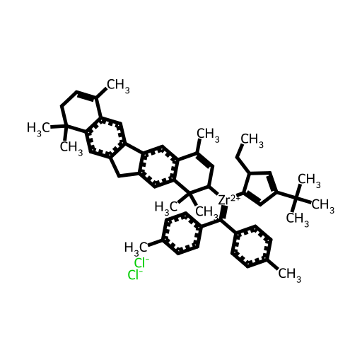 CCC1C=C(C(C)(C)C)C=[C]1[Zr+2](=[C](c1ccc(C)cc1)c1ccc(C)cc1)[CH]1C=C(C)c2cc3c(cc2C1(C)C)Cc1cc2c(cc1-3)C(C)=CCC2(C)C.[Cl-].[Cl-]